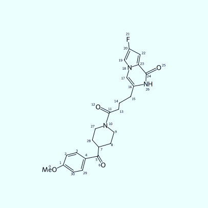 COc1ccc(C(=O)C2CCN(C(=O)CCCc3cn4cc(F)cc4c(=O)[nH]3)CC2)cc1